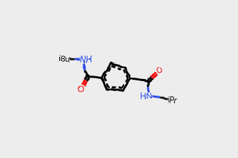 CCC(C)NC(=O)c1ccc(C(=O)NC(C)C)cc1